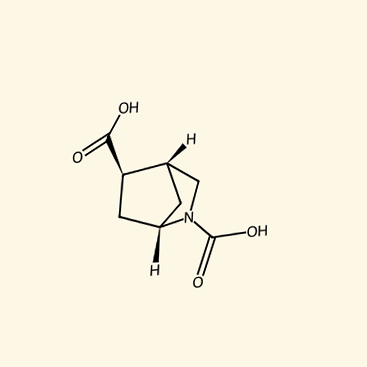 O=C(O)[C@@H]1C[C@@H]2C[C@H]1CN2C(=O)O